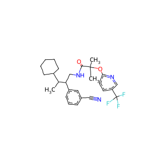 CC(C1CCCCC1)C(CNC(=O)C(C)(C)Oc1ccc(C(F)(F)F)cn1)c1cccc(C#N)c1